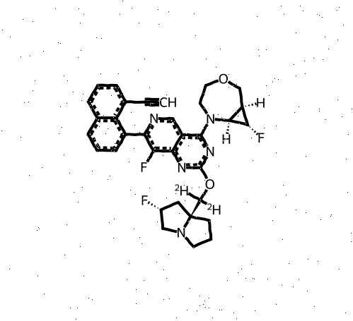 [2H]C([2H])(Oc1nc(N2CCOC[C@H]3[C@H](F)[C@H]32)c2cnc(-c3cccc4cccc(C#C)c34)c(F)c2n1)[C@@]12CCCN1C[C@H](F)C2